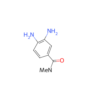 CNC(=O)c1ccc(N)c(N)c1